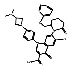 CN(C)C1CN(c2ccc(-n3cc(C(=O)O)c(=O)c4cc(Cl)c(N5C(=O)CCCC5COc5ccccn5)cc43)cn2)C1